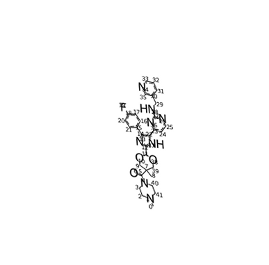 CN1CCN(C(=O)C2(C)COC(c3nc(-c4ccc(F)cc4)c(-c4ccnc(NCc5cccnc5)n4)[nH]3)OC2)CC1